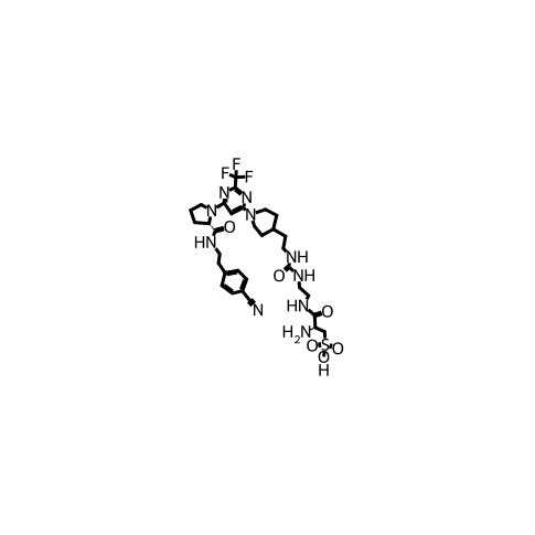 N#Cc1ccc(CCNC(=O)[C@@H]2CCCN2c2cc(N3CCC(CCNC(=O)NCCNC(=O)[C@@H](N)CS(=O)(=O)O)CC3)nc(C(F)(F)F)n2)cc1